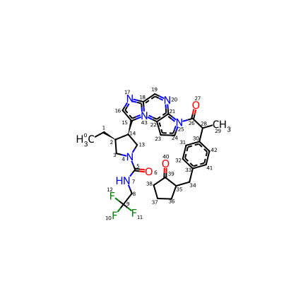 CC[C@@H]1CN(C(=O)NCC(F)(F)F)C[C@@H]1c1cnc2cnc3c(ccn3C(=O)C(C)c3ccc(CC4CCCC4=O)cc3)n12